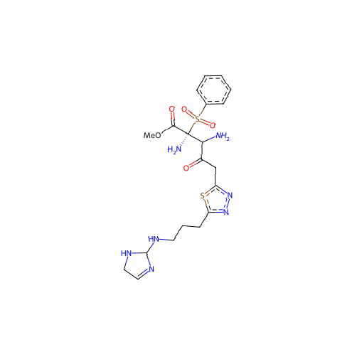 COC(=O)[C@](N)(C(N)C(=O)Cc1nnc(CCCNC2N=CCN2)s1)S(=O)(=O)c1ccccc1